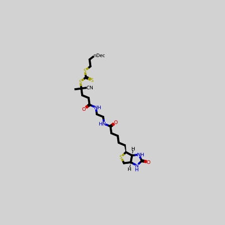 CCCCCCCCCCCCSC(=S)SC(C)(C#N)CCC(=O)NCCNC(=O)CCCC[C@@H]1SC[C@@H]2NC(=O)N[C@@H]21